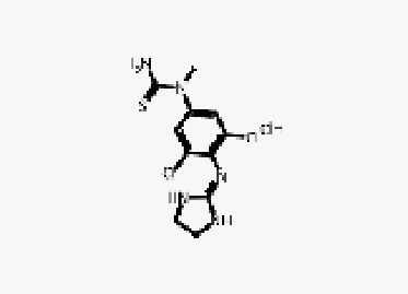 CN(C(N)=S)c1cc(Cl)c(N=C2NCCN2)c(Cl)c1.Cl